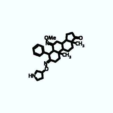 CO/N=C1\CC2C3CCC(=O)C3(C)CCC2C2(C)CC/C(=N\OC3CCNC3)C(c3ccccc3)C12